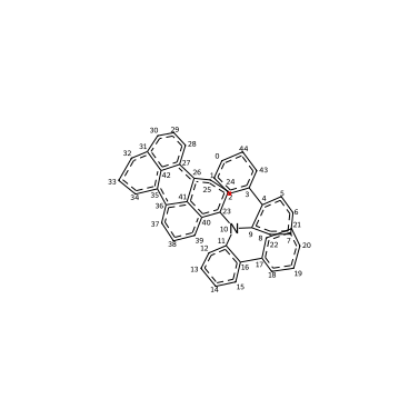 c1ccc(-c2ccccc2N(c2ccccc2-c2ccccc2)c2ccc3c4cccc5cccc(c6cccc2c63)c54)cc1